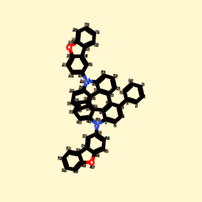 c1ccc(-c2ccc3c(c2-c2cccc4c2c2ccccc2n4-c2ccc4oc5ccccc5c4c2)c2ccccc2n3-c2ccc3oc4ccccc4c3c2)cc1